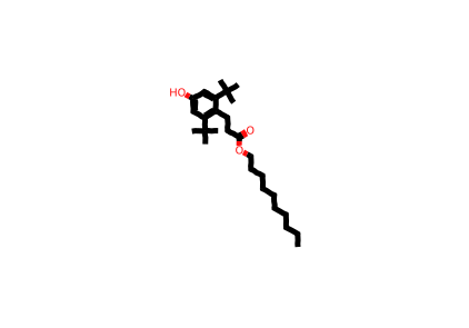 CCCCCCCCCCOC(=O)CCc1c(C(C)(C)C)cc(O)cc1C(C)(C)C